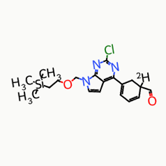 [2H]C1(C=O)C=CC=C(c2nc(Cl)nc3c2ccn3COCC[Si](C)(C)C)C1